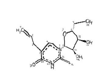 C=CCc1cn([C@@H]2O[C@H](CO)[C@@H](O)[C@H]2O)c(=S)[nH]c1=O